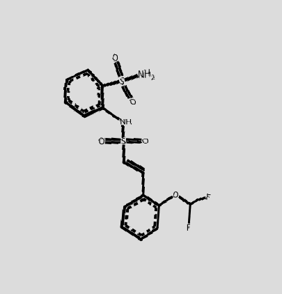 NS(=O)(=O)c1ccccc1NS(=O)(=O)C=Cc1ccccc1OC(F)F